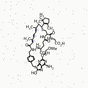 COCCOc1nc(N)c2nc(O)n(Cc3ccc(CNC(=O)/C=C(C)/C=C/C=C(\C)CC(SCC(NC(=O)CCC(N)C(=O)O)C(=O)NCC(=O)O)C4=C(C)CCCC4(C)C)cc3)c2n1